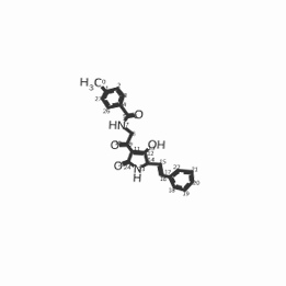 Cc1ccc(C(=O)NCC(=O)C2=C(O)C(C=Cc3ccccc3)NC2=O)cc1